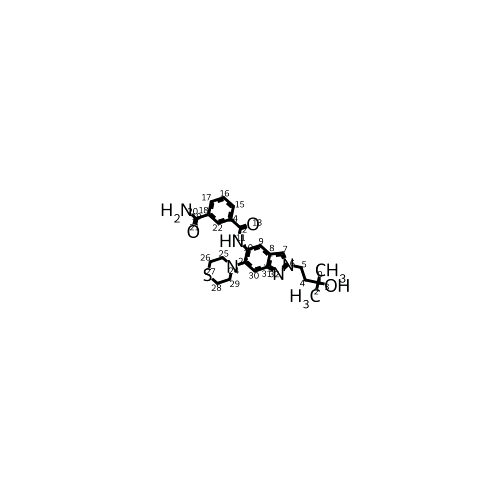 CC(C)(O)CCn1cc2cc(NC(=O)c3cccc(C(N)=O)c3)c(N3CCSCC3)cc2n1